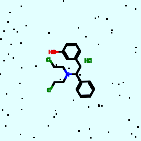 Cl.Oc1cccc(CC(c2ccccc2)N(CCCl)CCCl)c1